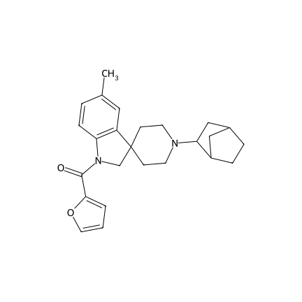 Cc1ccc2c(c1)C1(CCN(C3CC4CCC3C4)CC1)CN2C(=O)c1ccco1